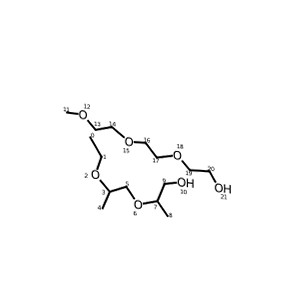 CCOC(C)COC(C)CO.COCCOCCOCCO